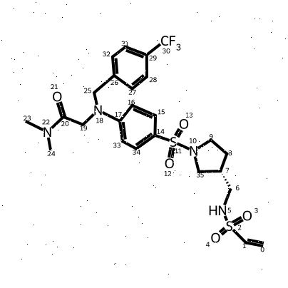 C=CS(=O)(=O)NC[C@H]1CCN(S(=O)(=O)c2ccc(N(CC(=O)N(C)C)Cc3ccc(C(F)(F)F)cc3)cc2)C1